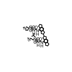 CC(C)CN(CCN(C)C)S(=O)(=O)NC(=O)Nc1c2c(cc3c1CC(C1Cc4cc5c(c(NC(=O)NS(=O)(=O)N(C)C6CCN(C)C6)c4C1)CCC5)C3)CCC2